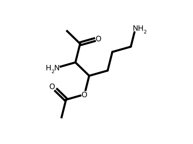 CC(=O)OC(CCCN)C(N)C(C)=O